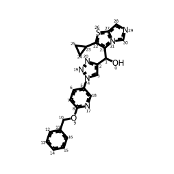 OC(c1cn(-c2ccc(OCc3ccccc3)nc2)nn1)c1c(C2CC2)sc2cncn12